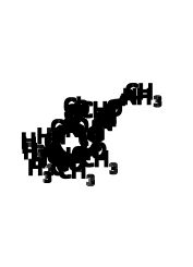 CNCCCOCc1cn(Cc2ccc([C@H]3O[C@@H]3[C@@H](C)[C@@H]3C/C=C/C(=O)N[C@H](Cc4ccc(OC)c(Cl)c4)C(=O)N[C@@H](C)C(C)(C)C(=O)N[C@@H](CC(C)(C)C)C(=O)O3)cc2)nn1